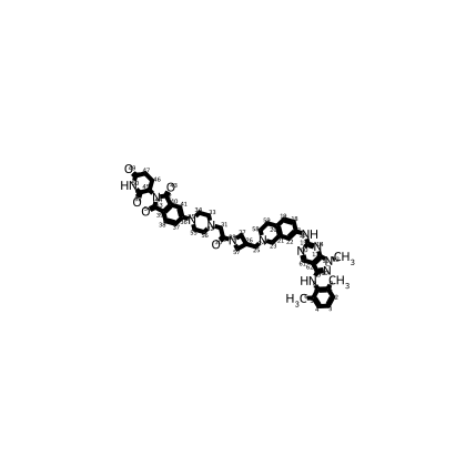 Cc1cccc(C)c1Nc1nn(C)c2nc(Nc3ccc4c(c3)CN(CC3CN(C(=O)CN5CCN(c6ccc7c(c6)C(=O)N(C6CCC(=O)NC6=O)C7=O)CC5)C3)CC4)ncc12